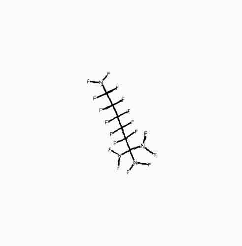 FN(F)C(F)(F)C(F)(F)C(F)(F)C(F)(F)C(F)(F)C(N(F)F)(N(F)F)N(F)F